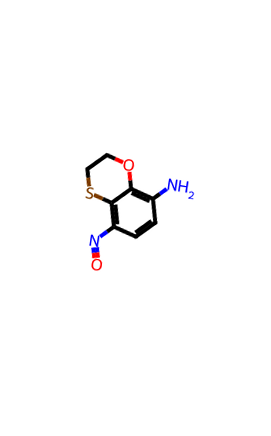 Nc1ccc(N=O)c2c1OCCS2